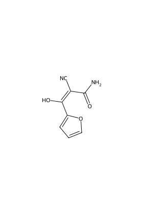 N#CC(C(N)=O)=C(O)c1ccco1